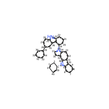 C1=CC[C@H](n2c3ccccc3c3ccc4c(ccn4-c4cccc5[nH]c6ccc(-c7ccccc7)cc6c45)c32)C=C1